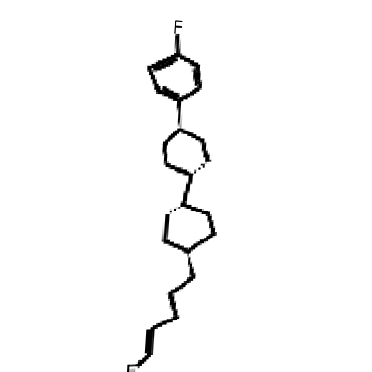 F/C=C/CCC[C@H]1CC[C@H]([C@H]2CC[C@H](c3ccc(F)cc3)CC2)CC1